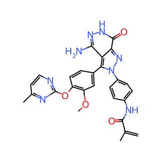 C=C(C)C(=O)Nc1ccc(-n2nc3c(=O)[nH]nc(N)c3c2-c2ccc(Oc3nccc(C)n3)c(OC)c2)cc1